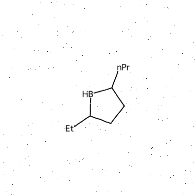 CCCC1BC(CC)CC1